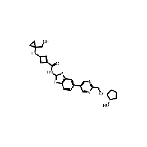 O=C(Nc1nc2ccc(-c3cnc(CO[C@H]4CCC[C@@H]4O)nc3)cc2s1)C1CC(NC2(CO)CC2)C1